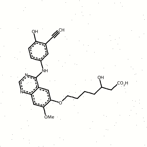 C#Cc1cc(Nc2ncnc3cc(OC)c(OCCCCC(O)CC(=O)O)cc23)ccc1O